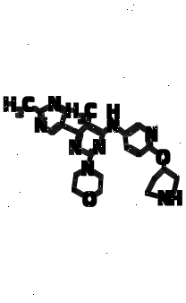 Cc1ncc(-c2nc(N3CCOCC3)nc(Nc3ccc(OC4CCNCC4)nc3)c2C)cn1